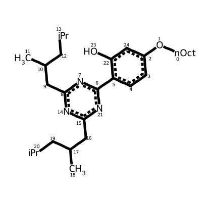 CCCCCCCCOc1ccc(-c2nc(CC(C)CC(C)C)nc(CC(C)CC(C)C)n2)c(O)c1